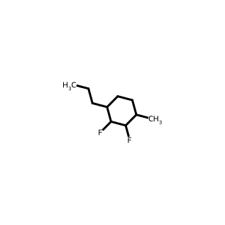 CCCC1CCC(C)C(F)C1F